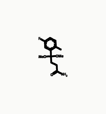 COC(CCC(N)=O)(OC)c1cc(F)ccc1C